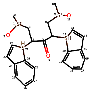 C[S+]([O-])CC(C(=O)C(C[S+](C)[O-])[SH]1C=Cc2ccccc21)[SH]1C=Cc2ccccc21